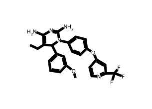 CCC1=C(N)N=C(N)N(c2ccc(Oc3ccnc(C(F)(F)F)c3)cc2)C1c1cccc(OC)c1